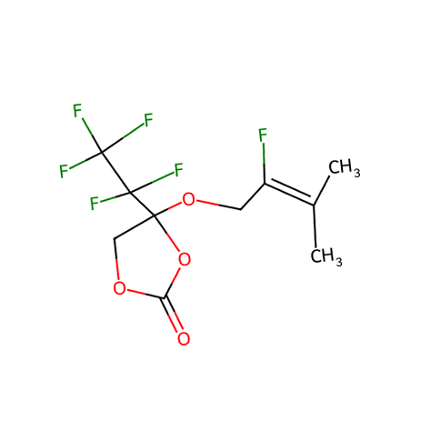 CC(C)=C(F)COC1(C(F)(F)C(F)(F)F)COC(=O)O1